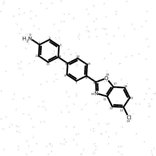 Nc1ccc(-c2ccc(-c3nc4cc(Cl)ccc4o3)cc2)cc1